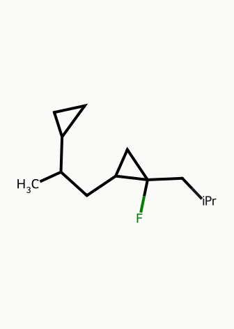 CC(C)CC1(F)CC1CC(C)C1CC1